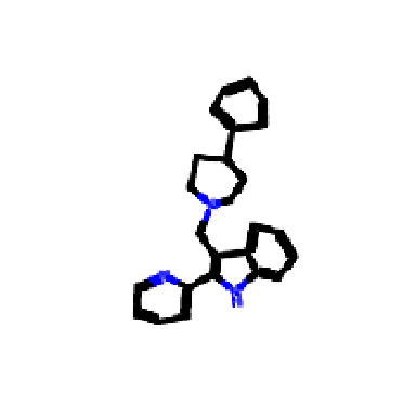 c1ccc(C2CCN(Cc3c(-c4ccccn4)[nH]c4ccccc34)CC2)cc1